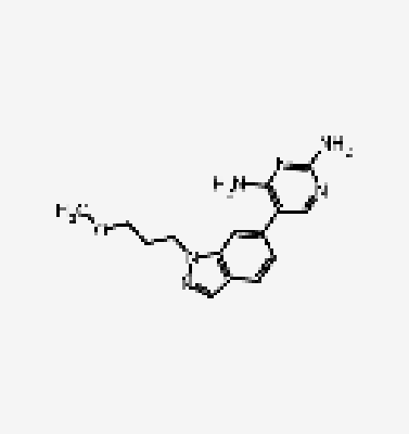 COCCCn1ncc2ccc(-c3cnc(N)nc3N)cc21